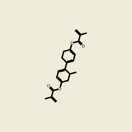 C=C(C)C(=O)OC1=CC=C(C2=CC=C(OC(=O)C(=C)C)CC2C)CC1